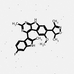 COc1cc2c(cc1C1C(C)=NOC1C)[nH]c1nc(C)nc(-c3c(C)[nH]c4cc(F)ccc34)c12